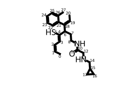 C/C=C\C=C(/S)C(CCNC(=O)CNCC1CC1)/C(=C/C)c1ccccc1C